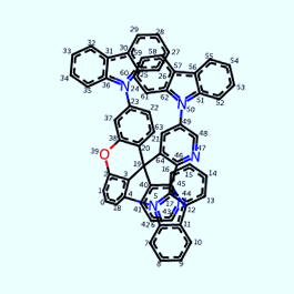 c1cc2c(c(-n3c4ccccc4c4ccccc43)c1)C1(c3ccc(-n4c5ccccc5c5ccccc54)cc3O2)c2cccnc2-c2ncc(-n3c4ccccc4c4ccccc43)cc21